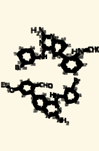 CCOc1ccc(C=O)c(-c2ccc3nc(N)nc(Nc4cccc(Br)c4)c3c2)c1.Nc1nc(Nc2cccc(Br)c2)c2cc(-c3ccccc3NC=O)ccc2n1